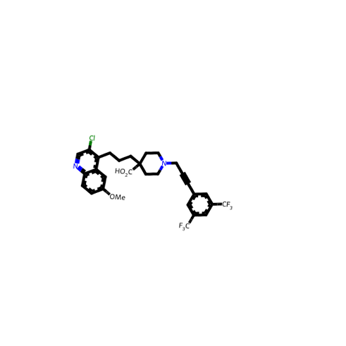 COc1ccc2ncc(Cl)c(CCCC3(C(=O)O)CCN(CC#Cc4cc(C(F)(F)F)cc(C(F)(F)F)c4)CC3)c2c1